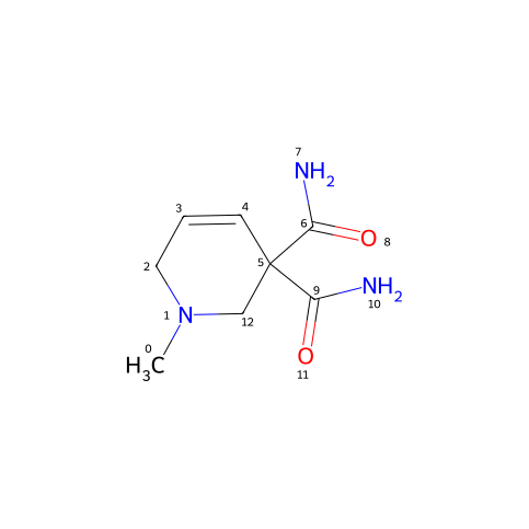 CN1CC=CC(C(N)=O)(C(N)=O)C1